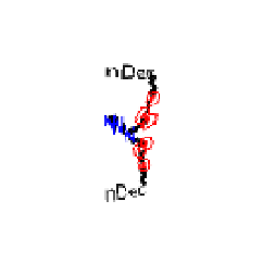 CCCCCCCCCCCCCCOCCOC(=O)CCN(CCC(=O)OCCOCCCCCCCCCCCCCC)CCn1ccnc1